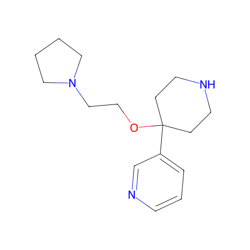 c1cncc(C2(OCCN3CCCC3)CCNCC2)c1